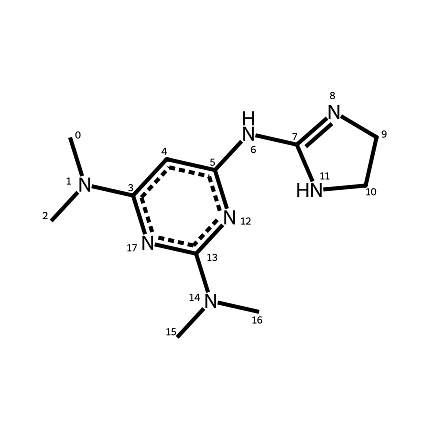 CN(C)c1cc(NC2=NCCN2)nc(N(C)C)n1